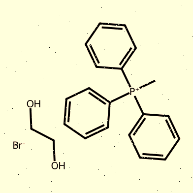 C[P+](c1ccccc1)(c1ccccc1)c1ccccc1.OCCO.[Br-]